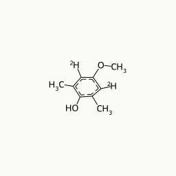 [2H]c1c(C)c(O)c(C)c([2H])c1OC